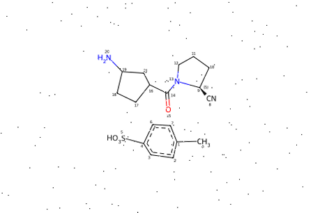 Cc1ccc(S(=O)(=O)O)cc1.N#C[C@@H]1CCCN1C(=O)C1CCC(N)C1